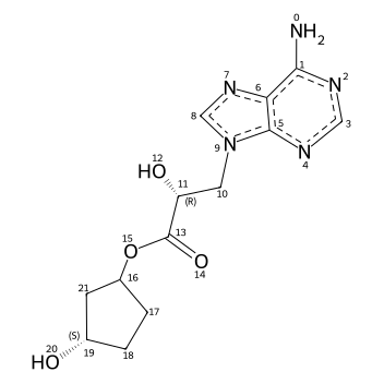 Nc1ncnc2c1ncn2C[C@@H](O)C(=O)OC1CC[C@H](O)C1